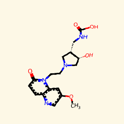 COc1cnc2ccc(=O)n(CCN3C[C@H](CNC(=O)O)[C@H](O)C3)c2c1